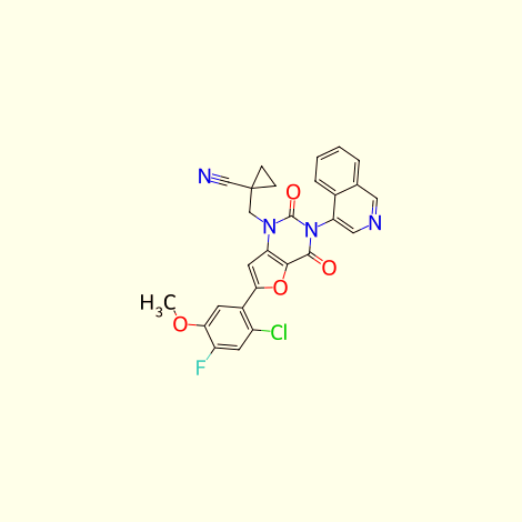 COc1cc(-c2cc3c(o2)c(=O)n(-c2cncc4ccccc24)c(=O)n3CC2(C#N)CC2)c(Cl)cc1F